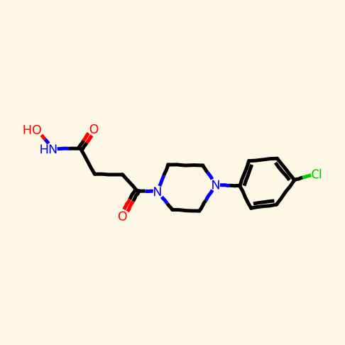 O=C(CCC(=O)N1CCN(c2ccc(Cl)cc2)CC1)NO